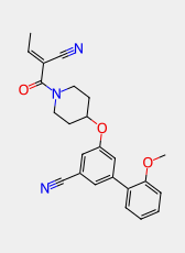 C/C=C(\C#N)C(=O)N1CCC(Oc2cc(C#N)cc(-c3ccccc3OC)c2)CC1